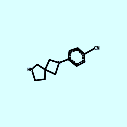 N#Cc1ccc(N2CC3(CCNC3)C2)cc1